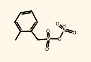 Cc1ccccc1CS(=O)(=O)O[SH](=O)=O